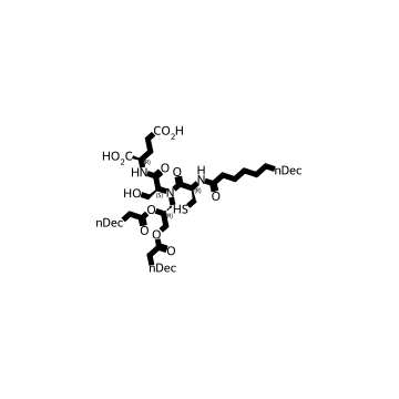 CCCCCCCCCCCCCCCC(=O)N[C@@H](CS)C(=O)N(C[C@H](COC(=O)CCCCCCCCCCC)OC(=O)CCCCCCCCCCC)[C@@H](CO)C(=O)N[C@H](CCC(=O)O)C(=O)O